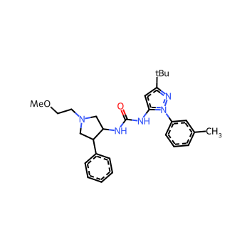 COCCN1CC(NC(=O)Nc2cc(C(C)(C)C)nn2-c2cccc(C)c2)C(c2ccccc2)C1